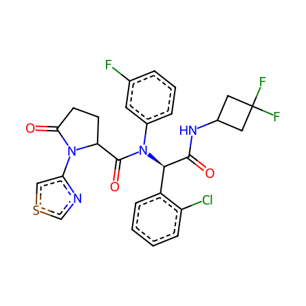 O=C(NC1CC(F)(F)C1)[C@@H](c1ccccc1Cl)N(C(=O)C1CCC(=O)N1c1cscn1)c1cccc(F)c1